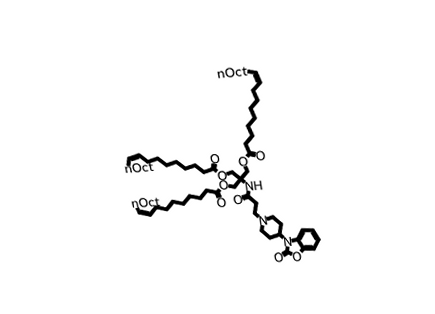 CCCCCCCC/C=C\CCCCCCCC(=O)OCC(COC(=O)CCCCCCC/C=C\CCCCCCCC)(COC(=O)CCCCCCC/C=C\CCCCCCCC)NC(=O)CCN1CCC(n2c(=O)oc3ccccc32)CC1